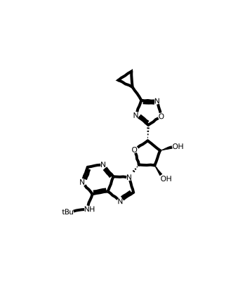 CC(C)(C)Nc1ncnc2c1ncn2[C@@H]1O[C@H](c2nc(C3CC3)no2)[C@@H](O)[C@H]1O